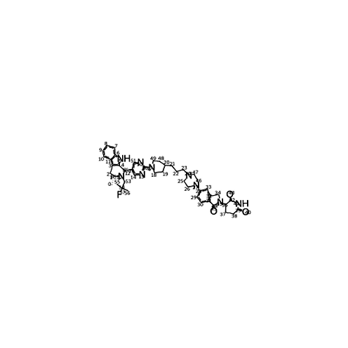 C[C@@H]1Cc2c([nH]c3ccccc23)[C@@H](c2cnc(N3CCC(CCCN4CCN(c5ccc6c(c5)CN(C5CCC(=O)NC5=O)C6=O)CC4)CC3)nc2)N1CC(C)(C)F